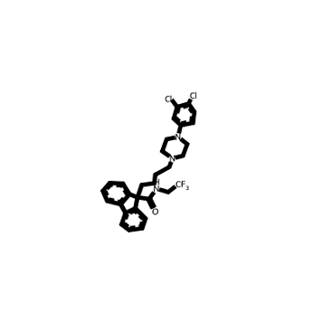 O=C(NCC(F)(F)F)C1(CCCCN2CCN(c3ccc(Cl)c(Cl)c3)CC2)c2ccccc2-c2ccccc21